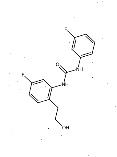 O=C(Nc1cccc(F)c1)Nc1cc(F)ccc1CCO